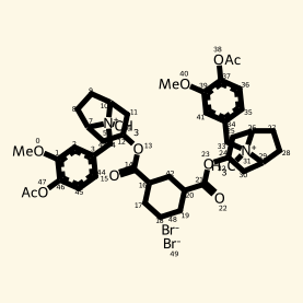 COc1cc(C[N+]2(C)C3CCC2CC(OC(=O)C2CCCC(C(=O)OC4CC5CCC(C4)[N+]5(C)Cc4ccc(OC(C)=O)c(OC)c4)C2)C3)ccc1OC(C)=O.[Br-].[Br-]